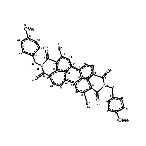 COc1ccc(CN2C(=O)c3ccc4c5cc(Br)c6c7c(ccc(c8cc(Br)c(c3c48)C2=O)c75)C(=O)N(Cc2ccc(OC)cc2)C6=O)cc1